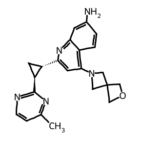 Cc1ccnc([C@H]2C[C@@H]2c2cc(N3CC4(COC4)C3)c3ccc(N)cc3n2)n1